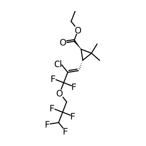 CCOC(=O)[C@@H]1[C@@H](C=C(Cl)C(F)(F)OCC(F)(F)C(F)F)C1(C)C